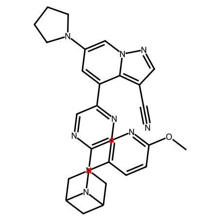 COc1ccc(CN2C3CC2CN(c2cnc(-c4cc(N5CCCC5)cn5ncc(C#N)c45)cn2)C3)cn1